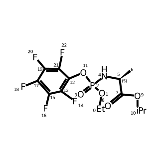 CCOP(=O)(N[C@@H](C)C(=O)OC(C)C)Oc1c(F)c(F)c(F)c(F)c1F